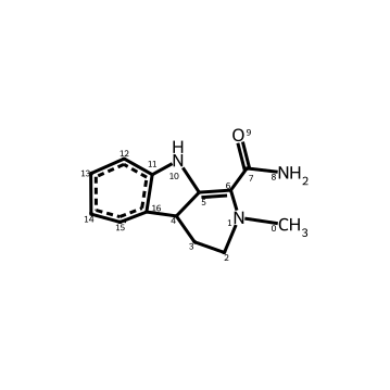 CN1CCC2C(=C1C(N)=O)Nc1ccc[c]c12